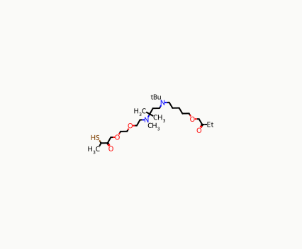 CCC(=O)COCCCCCN(CCC(C)(C)N(C)CCOCCOCC(=O)C(C)S)C(C)(C)C